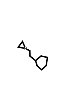 C1CCC(CCN2CC2)CC1